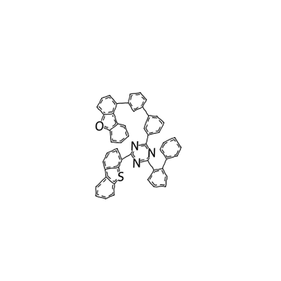 c1ccc(-c2ccccc2-c2nc(-c3cccc(-c4cccc(-c5cccc6oc7ccccc7c56)c4)c3)nc(-c3cccc4c3sc3ccccc34)n2)cc1